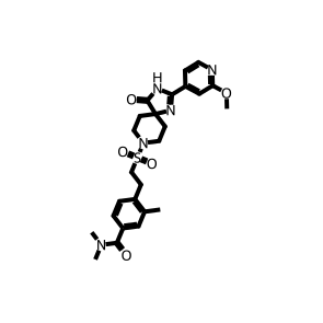 COc1cc(C2=NC3(CCN(S(=O)(=O)CCc4ccc(C(=O)N(C)C)cc4C)CC3)C(=O)N2)ccn1